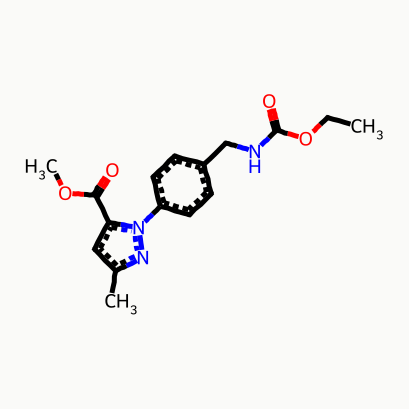 CCOC(=O)NCc1ccc(-n2nc(C)cc2C(=O)OC)cc1